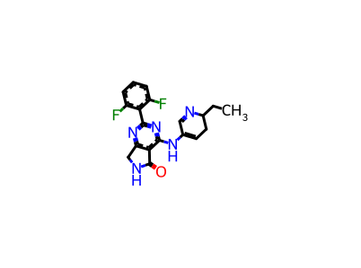 CCC1CC=C(Nc2nc(-c3c(F)cccc3F)nc3c2C(=O)NC3)C=N1